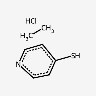 CC.Cl.Sc1ccncc1